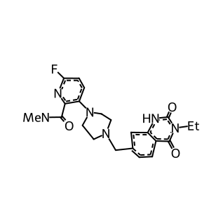 CCn1c(=O)[nH]c2cc(CN3CCN(c4ccc(F)nc4C(=O)NC)CC3)ccc2c1=O